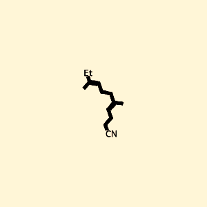 CCC(C)=CCCC(C)=CCCC#N